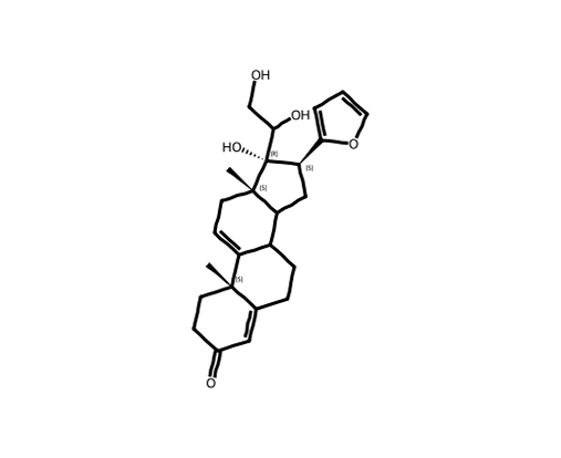 C[C@]12CCC(=O)C=C1CCC1C2=CC[C@@]2(C)C1C[C@H](c1ccco1)[C@]2(O)C(O)CO